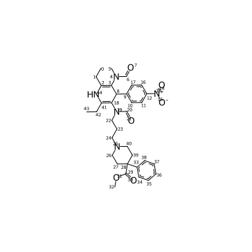 CCC1=C(N(C)C=O)C(c2ccc([N+](=O)[O-])cc2)C(N(C=O)CCCN2CCC(C(=O)OC)(c3ccccc3)CC2)=C(CC)N1